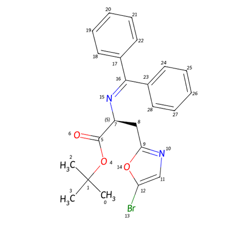 CC(C)(C)OC(=O)[C@H](Cc1ncc(Br)o1)N=C(c1ccccc1)c1ccccc1